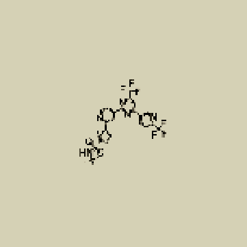 CC(C)(C)NS(=O)(=O)c1ccc(-c2cc(-c3nc(-c4ccc(C(F)(F)F)nc4)cc(C(F)(F)F)n3)ccn2)s1